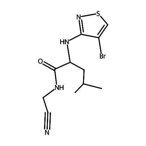 CC(C)CC(Nc1nscc1Br)C(=O)NCC#N